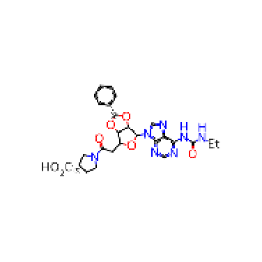 CCNC(=O)Nc1ncnc2c1ncn2C1OC(CC(=O)N2CC[C@H](C(=O)O)C2)C2O[C@H](c3ccccc3)OC21